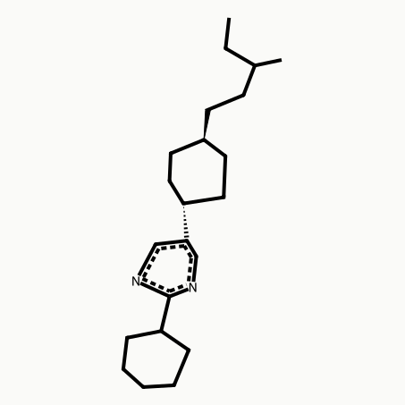 CCC(C)CC[C@H]1CC[C@H](c2cnc(C3CCCCC3)nc2)CC1